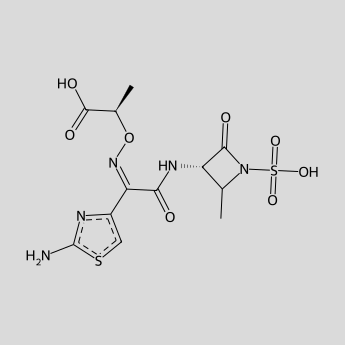 CC1[C@H](NC(=O)/C(=N\O[C@H](C)C(=O)O)c2csc(N)n2)C(=O)N1S(=O)(=O)O